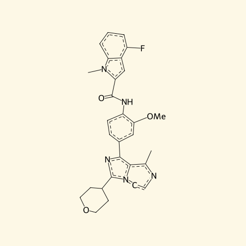 COc1cc(-c2nc(C3CCOCC3)n3ccnc(C)c23)ccc1NC(=O)c1cc2c(F)cccc2n1C